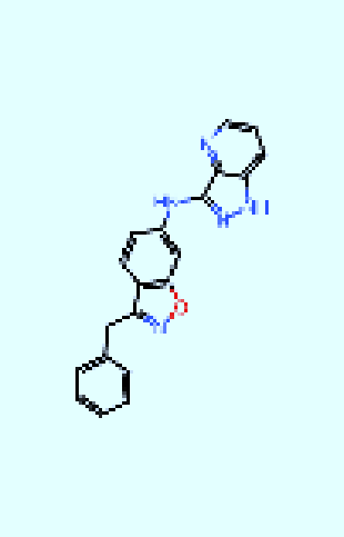 c1ccc(Cc2noc3cc(Nc4n[nH]c5cccnc45)ccc23)cc1